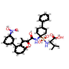 Cc1c(C(=O)NC2(S(=O)(=O)N[C@H](C(=O)O)C(C)C)C=CC(c3ccccc3)=CC2)oc2cccc(-c3cccc([N+](=O)[O-])c3)c12